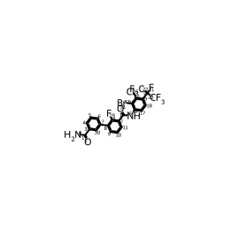 NC(=O)c1cccc(-c2cccc(C(=O)Nc3ccc(C(F)(C(F)(F)F)C(F)(F)F)c(Cl)c3Br)c2F)c1